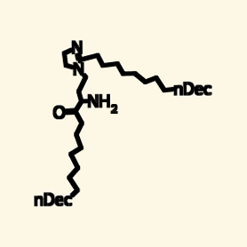 CCCCCCCCCCCCCCCCCCC1=NCCN1CCC(N)C(=O)CCCCCCCCCCCCCCCCC